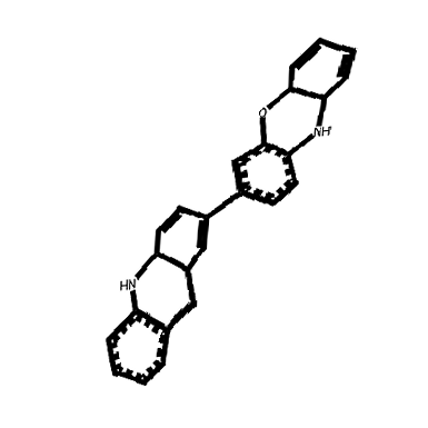 C1=CC2Nc3ccc(C4=CC5Cc6ccccc6NC5C=C4)cc3OC2C=C1